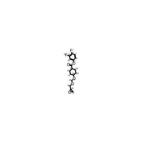 O=C(Oc1ccc(F)c(F)c1)C1CCC(OCOCC2CO2)CC1